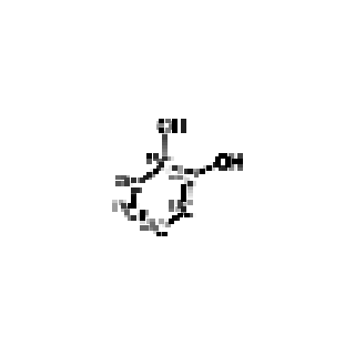 O[13C]1=[13CH][13CH]=[13CH][13CH2][13CH]1O